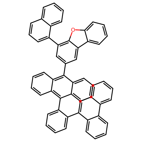 c1ccc(-c2cc3ccccc3c3ccccc23)c(-c2c3ccccc3c(-c3cc(-c4cccc5ccccc45)c4oc5ccccc5c4c3)c3ccccc23)c1